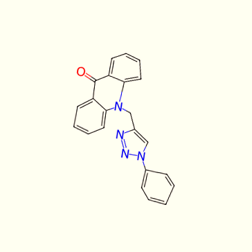 O=c1c2ccccc2n(Cc2cn(-c3ccccc3)nn2)c2ccccc12